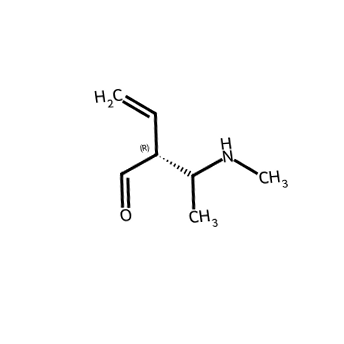 C=C[C@@H](C=O)C(C)NC